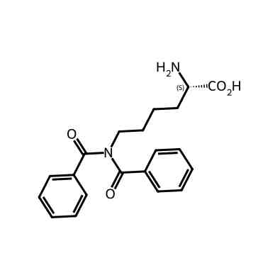 N[C@@H](CCCCN(C(=O)c1ccccc1)C(=O)c1ccccc1)C(=O)O